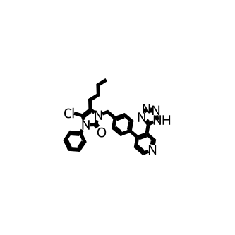 CCCCc1c(Cl)n(-c2ccccc2)c(=O)n1Cc1ccc(-c2ccncc2-c2nnn[nH]2)cc1